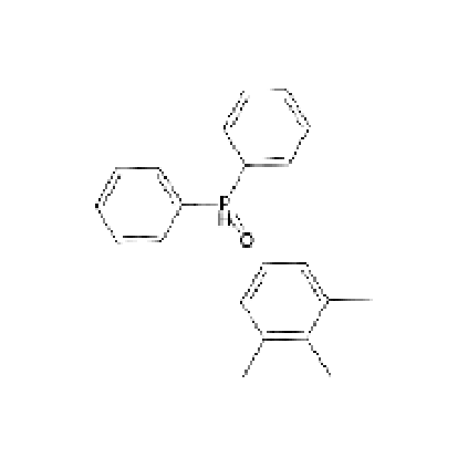 Cc1cccc(C)c1C.O=[PH](c1ccccc1)c1ccccc1